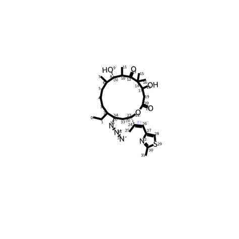 CCC1CCCC(C)[C@H](O)C(C)C(=O)C(C)(C)C(O)CC(=O)O[C@H](/C(C)=C/c2csc(C)n2)C[C@@H]1N=[N+]=[N-]